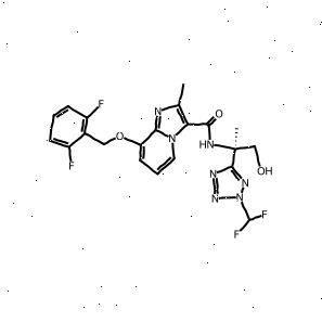 Cc1nc2c(OCc3c(F)cccc3F)cccn2c1C(=O)N[C@@](C)(CO)c1nnn(C(F)F)n1